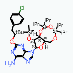 CC(C)[Si]1(C(C)C)OC[C@H]2O[C@@H](n3cnc4c(N)nc(OCCc5ccc(Cl)cc5)nc43)[C@H](O[Si](C)(C)C(C)(C)C)[C@@H]2O[Si](C(C)C)(C(C)C)O1